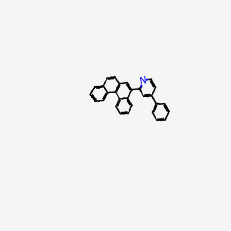 c1ccc(-c2ccnc(-c3cc4ccc5ccccc5c4c4ccccc34)c2)cc1